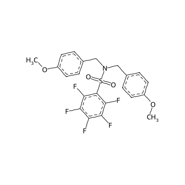 COc1ccc(CN(Cc2ccc(OC)cc2)S(=O)(=O)c2c(F)c(F)c(F)c(F)c2F)cc1